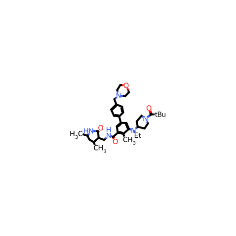 CCN(c1cc(-c2ccc(CN3CCOCC3)cc2)cc(C(=O)NCC2C(=O)NC(C)CC2C)c1C)C1CCN(C(=O)C(C)(C)C)CC1